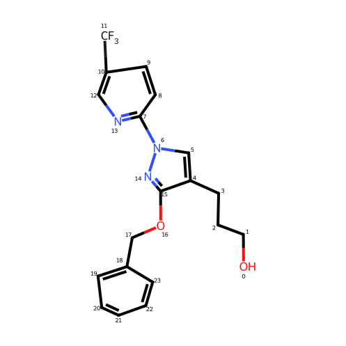 OCCCc1cn(-c2ccc(C(F)(F)F)cn2)nc1OCc1ccccc1